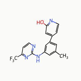 Cc1cc(Nc2nccc(C(F)(F)F)n2)cc(-c2ccnc(O)c2)c1